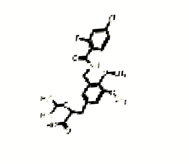 COc1cc(CC(OC(C)C)C(=O)O)cc(CNC(=O)c2ccc(Cl)cc2F)c1OC